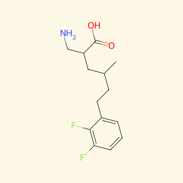 CC(CCc1cccc(F)c1F)CC(CN)C(=O)O